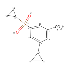 O=C(O)c1cc(C2CC2)cc(S(=O)(=O)C2CC2)c1